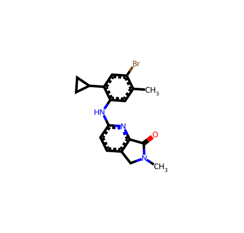 Cc1cc(Nc2ccc3c(n2)C(=O)N(C)C3)c(C2CC2)cc1Br